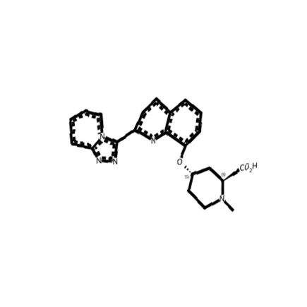 CN1CC[C@H](Oc2cccc3ccc(-c4nnc5ccccn45)nc23)C[C@H]1C(=O)O